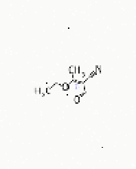 CCO/C(C)=C(/C#N)C=O